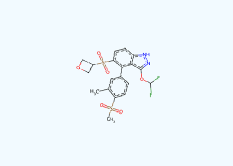 Cc1cc(-c2c(S(=O)(=O)C3COC3)ccc3[nH]nc(OC(F)F)c23)ccc1S(C)(=O)=O